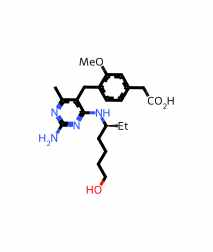 CC[C@@H](CCCCO)Nc1nc(N)nc(C)c1Cc1ccc(CC(=O)O)cc1OC